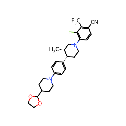 C[C@@H]1CN(c2ccc(C#N)c(C(F)(F)F)c2F)CC[C@@H]1c1ccc(N2CCC(C3OCCO3)CC2)cc1